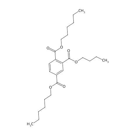 CCCCCCOC(=O)c1ccc(C(=O)OCCCCCC)c(C(=O)OCCCC)c1